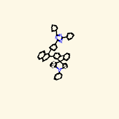 c1ccc(-c2nc(-c3ccccc3)nc(-c3ccc(-c4c(-c5ccc6c(c5)C5(c7ccccc7-6)c6ccccc6N(c6ccccc6)c6ccccc65)ccc5ccccc45)cc3)n2)cc1